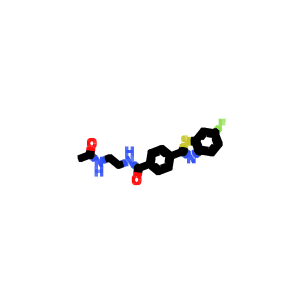 CC(=O)NCCNC(=O)c1ccc(-c2nc3ccc(F)cc3s2)cc1